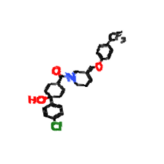 O=C(C1CCC(O)(c2ccc(Cl)cc2)CC1)N1CCCC(COc2ccc(C(F)(F)F)cc2)C1